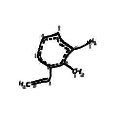 C=Cc1cccc(N)c1C